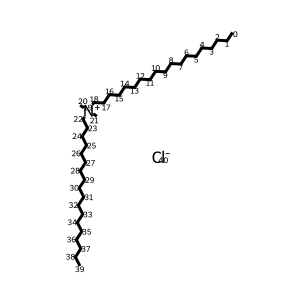 CCCCCCCCCCCCCCCCCCC[N+](C)(C)CCCCCCCCCCCCCCCCCC.[Cl-]